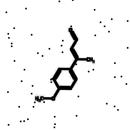 COc1ccc(C(C)=CC=O)cc1